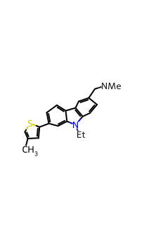 CCn1c2ccc(CNC)cc2c2ccc(-c3cc(C)cs3)cc21